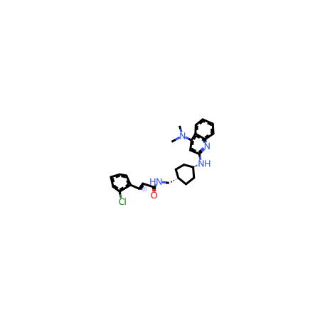 CN(C)c1cc(N[C@H]2CC[C@@H](CNC(=O)/C=C/c3ccccc3Cl)CC2)nc2ccccc12